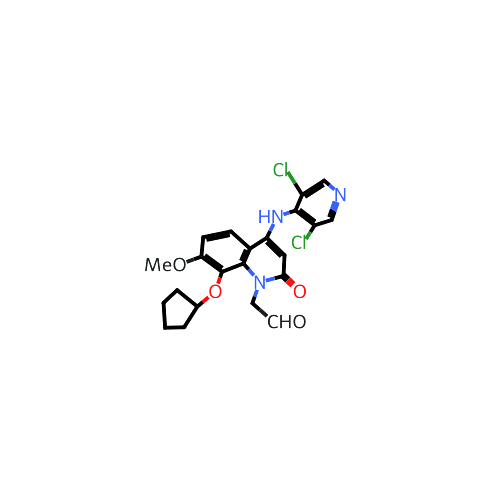 COc1ccc2c(Nc3c(Cl)cncc3Cl)cc(=O)n(CC=O)c2c1OC1CCCC1